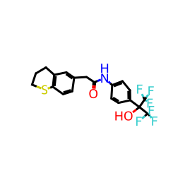 O=C(Cc1ccc2c(c1)CCCS2)Nc1ccc(C(O)(C(F)(F)F)C(F)(F)F)cc1